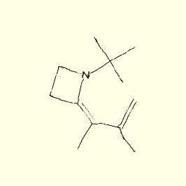 C=C(C)/C(C)=C1/CCN1C(C)(C)C